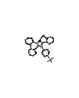 CC(C)(C)c1ccc(-n2c3c4ccccc4ccc3c3c4ccccc4c4ccccc4c32)cc1